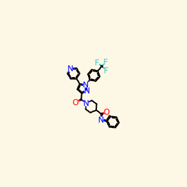 O=C(c1cc(-c2ccncc2)n(-c2ccc(C(F)(F)F)cc2)n1)N1CCC(c2nc3ccccc3o2)CC1